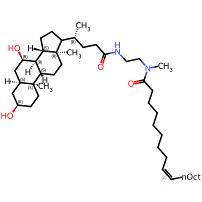 CCCCCCCC/C=C\CCCCCCCC(=O)N(C)CCNC(=O)CC[C@@H](C)C1CC[C@H]2[C@@H]3[C@H](O)C[C@@H]4C[C@H](O)CC[C@]4(C)[C@H]3CC[C@]12C